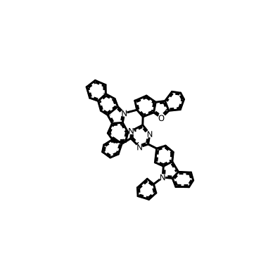 c1ccc(-c2nc(-c3ccc4c5ccccc5n(-c5ccccc5)c4c3)nc(-c3c(-n4c5ccccc5c5cc6ccccc6cc54)ccc4c3oc3ccccc34)n2)cc1